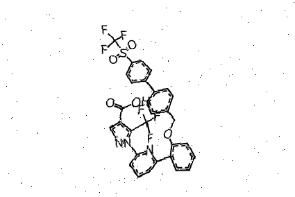 O=C(O)c1cnn(-c2cccc(-c3ccccc3OCc3ccc(-c4ccc(S(=O)(=O)C(F)(F)F)cc4)cc3)n2)c1C(F)(F)F